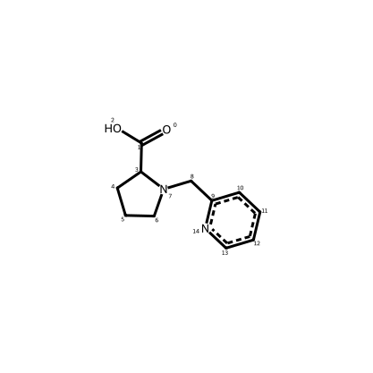 O=C(O)C1CCCN1Cc1ccccn1